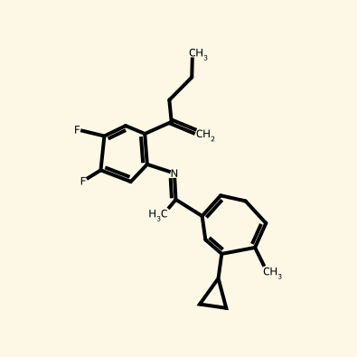 C=C(CCC)c1cc(F)c(F)cc1/N=C(\C)C1=CCC=C(C)C(C2CC2)=C1